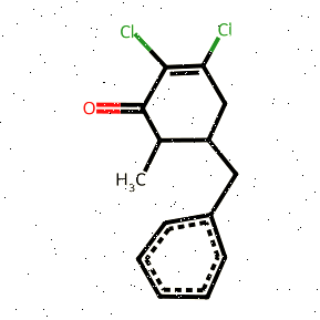 CC1C(=O)C(Cl)=C(Cl)CC1Cc1ccccc1